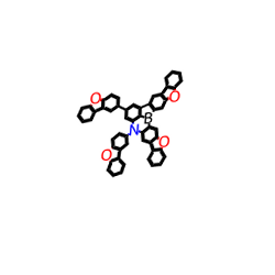 c1ccc2c(c1)oc1ccc(-c3cc4c5c(c3)N(c3ccc6oc7ccccc7c6c3)c3cc6c(cc3B5c3cc5oc7ccccc7c5cc3-4)oc3ccccc36)cc12